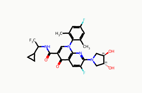 Cc1cc(F)cc(C)c1-n1cc(C(=O)NC(C2CC2)C(F)(F)F)c(=O)c2cc(F)c(N3C[C@@H](O)[C@H](O)C3)nc21